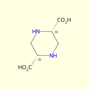 O=C(O)[C@@H]1CN[C@H](C(=O)O)CN1